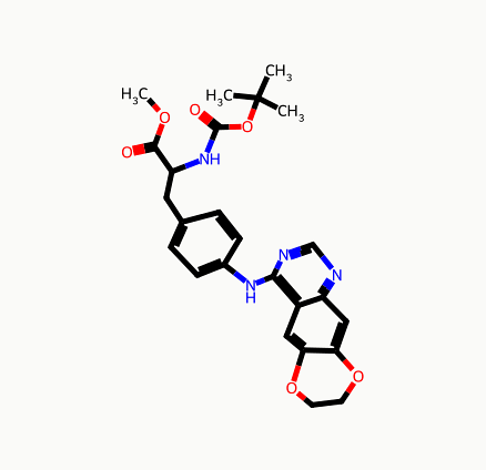 COC(=O)C(Cc1ccc(Nc2ncnc3cc4c(cc23)OCCO4)cc1)NC(=O)OC(C)(C)C